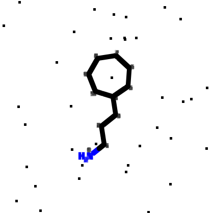 NCCCC1CCCCCC1